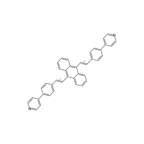 C(=C\c1c2ccccc2c(/C=C/c2ccc(-c3ccncc3)cc2)c2ccccc12)/c1ccc(-c2ccncc2)cc1